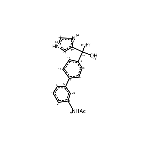 CC(=O)Nc1cccc(-c2ccc(C(O)(c3c[nH]cn3)C(C)C)cc2)c1